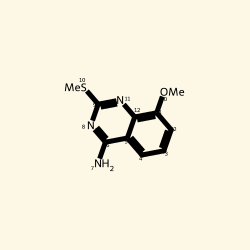 COc1cccc2c(N)nc(SC)nc12